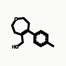 Cc1ccc(C2=C(CO)CCOCC2)cc1